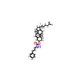 CC(C)CCC[C@@H](C)C1CCC2[C@@H]3CC=C4C[C@@H](OC(=O)NCCCc5ccccc5)CC[C@]4(C)[C@H]3CC[C@]12C